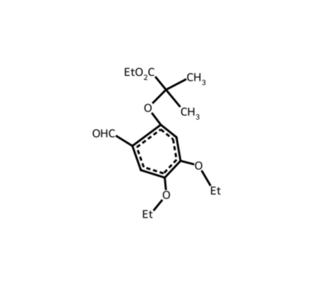 CCOC(=O)C(C)(C)Oc1cc(OCC)c(OCC)cc1C=O